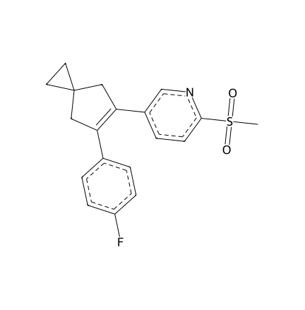 CS(=O)(=O)c1ccc(C2=C(c3ccc(F)cc3)CC3(CC3)C2)cn1